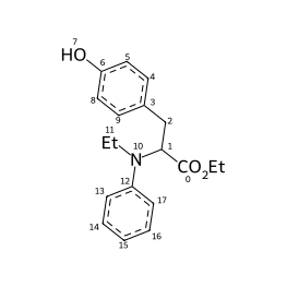 CCOC(=O)C(Cc1ccc(O)cc1)N(CC)c1ccccc1